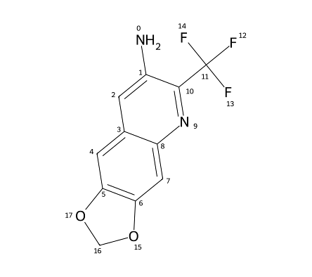 Nc1cc2cc3c(cc2nc1C(F)(F)F)OCO3